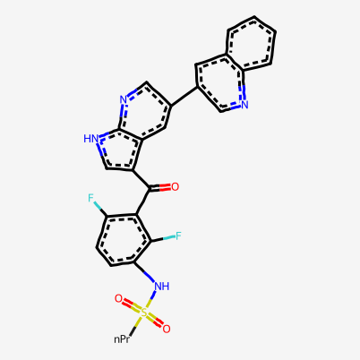 CCCS(=O)(=O)Nc1ccc(F)c(C(=O)c2c[nH]c3ncc(-c4cnc5ccccc5c4)cc23)c1F